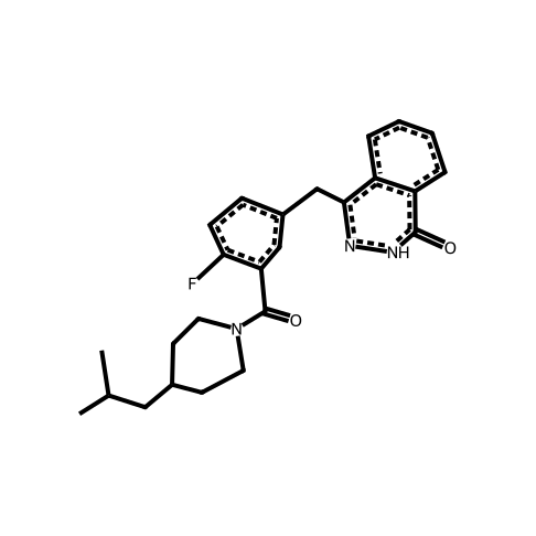 CC(C)CC1CCN(C(=O)c2cc(Cc3n[nH]c(=O)c4ccccc34)ccc2F)CC1